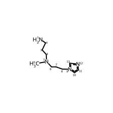 CN(CCCN)CCCn1ccnc1